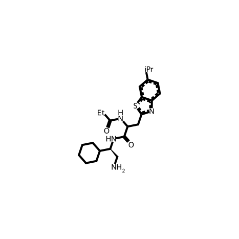 CCC(=O)NC(Cc1nc2ccc(C(C)C)cc2s1)C(=O)N[C@@H](CN)C1CCCCC1